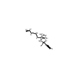 C#CC(C)(C)OP(=O)(O)CCCC=C